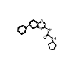 O=C(Nc1cnc2ccc(-c3ccccc3)cc2n1)NC1CCCC1